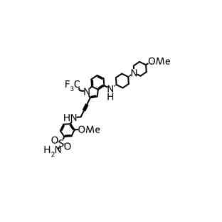 COc1cc(S(N)(=O)=O)ccc1NCC#Cc1cc2c(N[C@H]3CC[C@H](N4CCC(OC)CC4)CC3)cccc2n1CC(F)(F)F